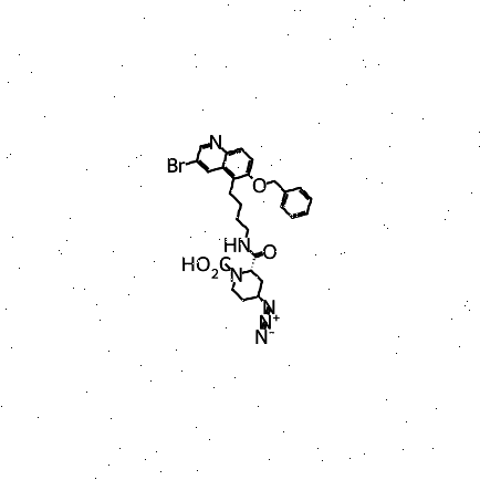 [N-]=[N+]=N[C@H]1CCN(C(=O)O)[C@H](C(=O)NCCCCc2c(OCc3ccccc3)ccc3ncc(Br)cc23)C1